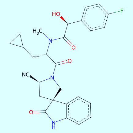 CN(C(=O)[C@@H](O)c1ccc(F)cc1)[C@@H](CC1CC1)C(=O)N1C[C@]2(C[C@H]1C#N)C(=O)Nc1ccccc12